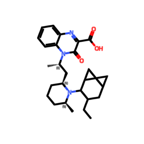 CCC1CC2CC23CC3C1N1[C@H](C[C@H](C)n2c(=O)c(C(=O)O)nc3ccccc32)CCC[C@@H]1C